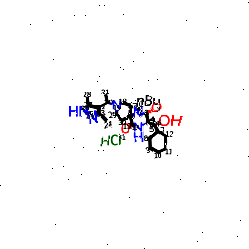 CCCCN1C(=O)[C@@H]([C@H](O)C2CCCCC2)NC(=O)C12CCN(C(C)c1c(C)n[nH]c1C)CC2.Cl